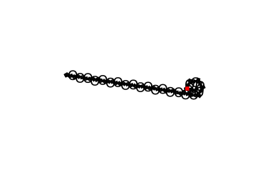 C=CCOCCOCCOCCOCCOCCOCCOCCOCCOCCOCCOCCOCCOCCOCCOCCOCCOCC(C)OCC(C)OCC(C)OCC(C)OCC(C)OCCCC